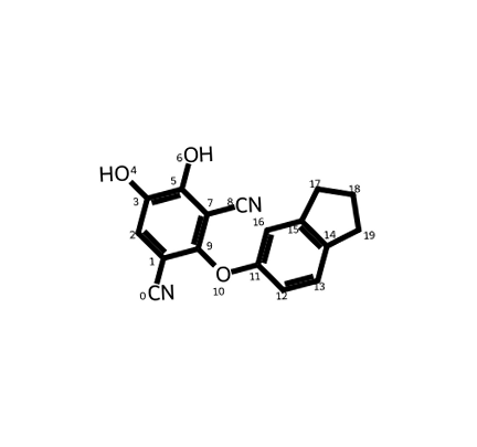 N#Cc1cc(O)c(O)c(C#N)c1Oc1ccc2c(c1)CCC2